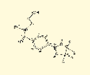 CCN(CCO)C(=O)c1ccc(B2OC(C)(C)C(C)(C)O2)cc1